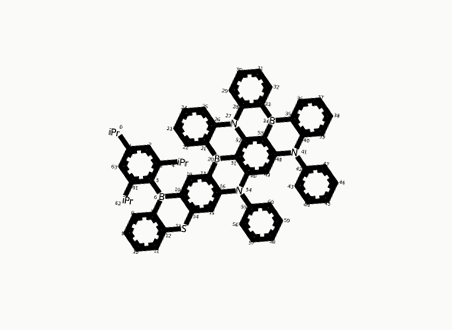 CC(C)c1cc(C(C)C)c(B2c3ccccc3Sc3cc4c(cc32)B2c3ccccc3N3c5ccccc5B5c6ccccc6N(c6ccccc6)c6cc(c2c3c65)N4c2ccccc2)c(C(C)C)c1